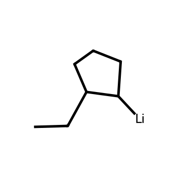 [Li][CH]1CCCC1CC